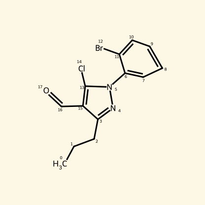 CCCc1nn(-c2ccccc2Br)c(Cl)c1C=O